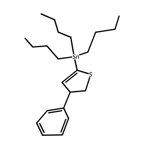 CCC[CH2][Sn]([CH2]CCC)([CH2]CCC)[C]1=CC(c2ccccc2)CS1